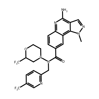 Cn1ncc2c(N)nc3ccc(C(=O)N(Cc4ccc(C(F)(F)F)cn4)N4CCOC(C(F)(F)F)C4)cc3c21